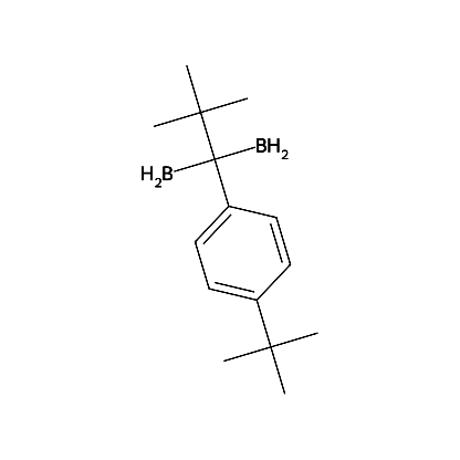 BC(B)(c1ccc(C(C)(C)C)cc1)C(C)(C)C